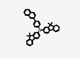 CC1(C)C2=C(C=CCC2)c2ccc(N(c3ccc(-c4ccc5ccccc5c4)cc3)c3ccc4c(c3)C(C)(C)c3ccccc3-4)cc21